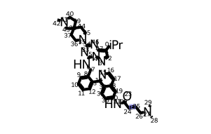 CC(C)c1cnn2c(NCc3ccccc3-c3nccc4cc(NC(=O)/C=C/CN(C)C)ccc34)nc(N3CCC4(CCN(C)C4)CC3)nc12